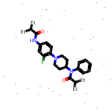 CCC(CC)C(=O)Nc1ccc(N2CCC(N(C(=O)C(CC)CC)c3ccccc3)CC2)c(F)c1